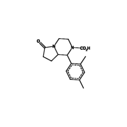 Cc1ccc(C2C3CCC(=O)N3CCN2C(=O)O)c(C)c1